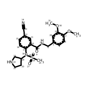 COc1ccc(CNC(=O)c2cc(C#N)ccc2N(C2CCNC2)S(C)(=O)=O)cc1OC